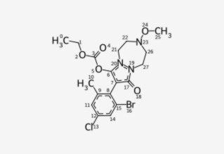 CCOC(=O)Oc1c(-c2c(C)cc(Cl)cc2Br)c(=O)n2n1CCN(OC)CC2